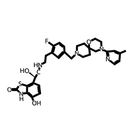 Cc1ccnc(N2CCOC3(CCN(Cc4ccc(F)c(CCNC[C@H](O)c5ccc(O)c6[nH]c(=O)sc56)c4)CC3)C2)c1